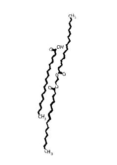 CCCCCCCCCCCCCCCC(=O)OCCOC(=O)CCCCCCCCCCCCCCC.CCCCCCCCCCCCCCCCCC(=O)O